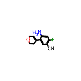 N#Cc1cc(C2=CCOCC2)c(N)cc1F